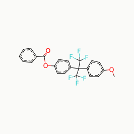 COc1ccc(C(c2ccc(OC(=O)c3ccccc3)cc2)(C(F)(F)F)C(F)(F)F)cc1